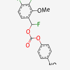 COc1c(C(F)OC(=O)Oc2ccc([N+](=O)[O-])cc2)ccc(F)c1F